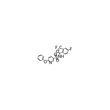 O=C(NS(=O)(=O)c1ccc(Oc2ccccc2)nc1)c1ccc(F)cc1C(F)(F)F